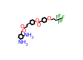 Nc1ccc(COC(=O)/C=C/c2ccc(OC(=O)c3ccc(OCCCC(F)(F)C(F)(F)F)cc3)cc2)c(N)c1